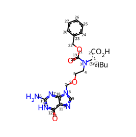 CC[C@H](C)[C@@H](C(=O)O)N(CCOCn1cnc2c(=O)[nH]c(N)nc21)C(=O)OCc1ccccc1